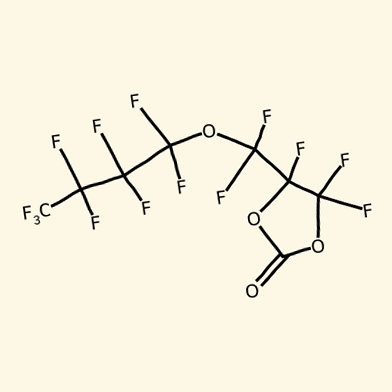 O=C1OC(F)(F)C(F)(C(F)(F)OC(F)(F)C(F)(F)C(F)(F)C(F)(F)F)O1